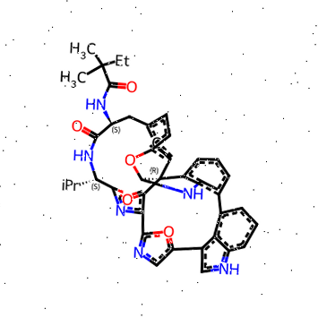 CCC(C)(C)C(=O)N[C@H]1Cc2ccc3c(c2)[C@]24c5cccc(c5NC2O3)-c2cccc3[nH]cc(c23)-c2cnc(o2)-c2nc(oc24)[C@H](C(C)C)NC1=O